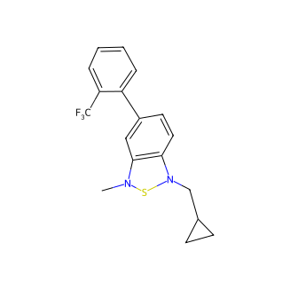 CN1SN(CC2CC2)c2ccc(-c3ccccc3C(F)(F)F)cc21